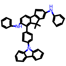 CC1(C)c2cc(Nc3ccccc3)ccc2-c2ccc(Nc3ccccc3)c(-c3ccc(-n4c5ccccc5c5ccccc54)cc3)c21